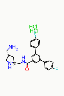 Cl.Cl.NC[C@H]1CN[C@H](CNC(=O)c2cc(-c3ccc(F)cc3)cc(-c3ccc(F)cc3)c2)C1